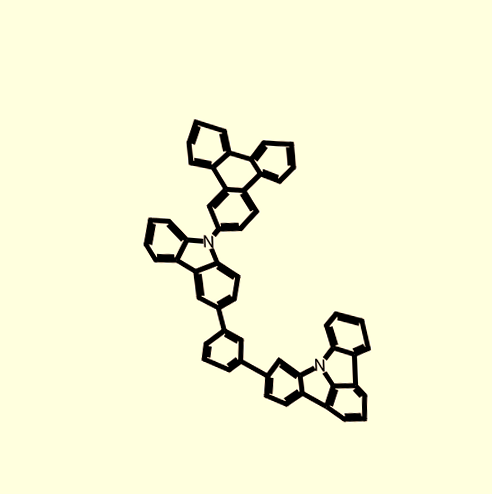 c1cc(-c2ccc3c(c2)c2ccccc2n3-c2ccc3c4ccccc4c4ccccc4c3c2)cc(-c2ccc3c4cccc5c6ccccc6n(c3c2)c54)c1